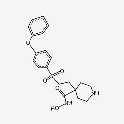 O=C(NO)C1(CCS(=O)(=O)c2ccc(Oc3ccccc3)cc2)CCNCC1